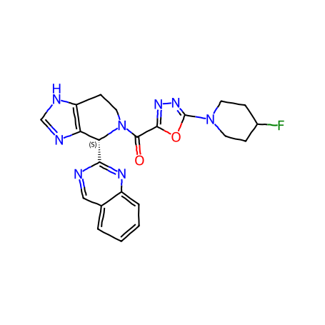 O=C(c1nnc(N2CCC(F)CC2)o1)N1CCc2[nH]cnc2[C@H]1c1ncc2ccccc2n1